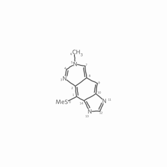 CSc1c2ncn(C)cc2cc2ncnc12